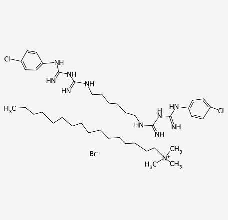 CCCCCCCCCCCCCCCC[N+](C)(C)C.N=C(NCCCCCCNC(=N)NC(=N)Nc1ccc(Cl)cc1)NC(=N)Nc1ccc(Cl)cc1.[Br-]